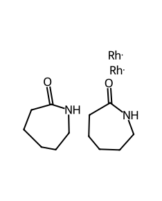 O=C1CCCCCN1.O=C1CCCCCN1.[Rh].[Rh]